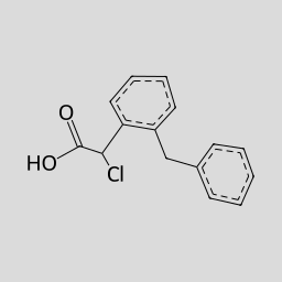 O=C(O)C(Cl)c1ccccc1Cc1ccccc1